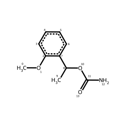 COc1ccccc1C(C)OC(N)=O